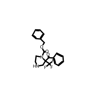 O=C(OCc1ccccc1)N1CCNCC1(C(=O)c1ccccc1)C(F)(F)F